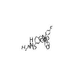 NNC(=O)c1ccc(CN(c2ccc(F)cc2)S(=O)(=O)N2CCOCC2)cc1